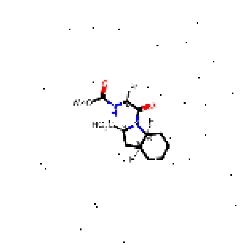 COC(=O)N[C@H](C(=O)N1[C@H](C(=O)O)C[C@@H]2CCCC[C@@H]21)C(C)C